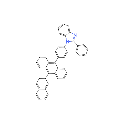 C1=c2ccccc2=CC(c2c3ccccc3c(-c3ccc(-n4c(-c5ccccc5)nc5ccccc54)cc3)c3ccccc23)C1